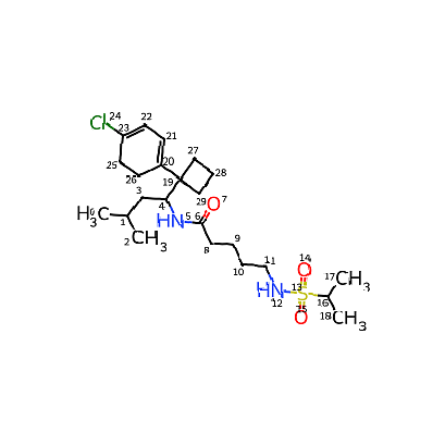 CC(C)CC(NC(=O)CCCCNS(=O)(=O)C(C)C)C1(C2=CC=C(Cl)CC2)CCC1